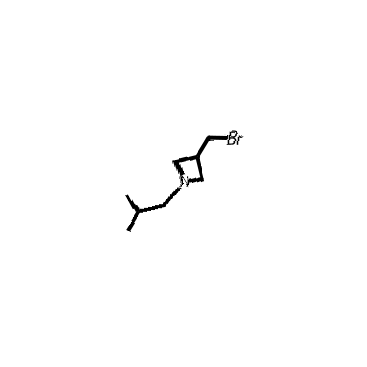 C[C](C)CN1CC(CBr)C1